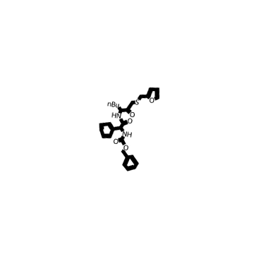 CCCCC(NC(=O)C(NC(=O)OCc1ccccc1)c1ccccc1)C(=O)CSCc1ccco1